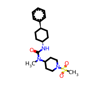 CN(C(=O)N[C@H]1CC[C@H](c2ccccc2)CC1)C1CCN(S(C)(=O)=O)CC1